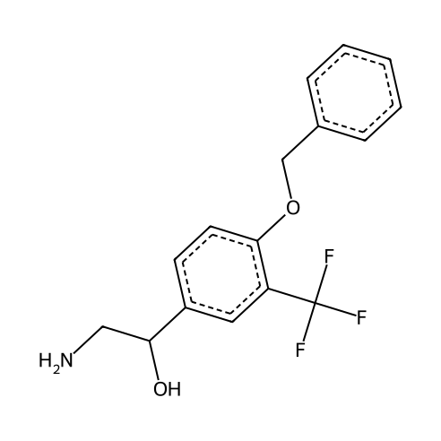 NCC(O)c1ccc(OCc2ccccc2)c(C(F)(F)F)c1